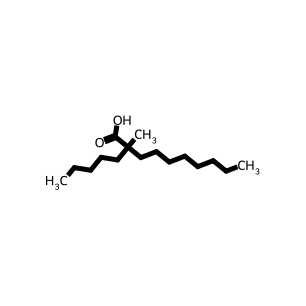 CCCCCCCCC(C)(CCCCC)C(=O)O